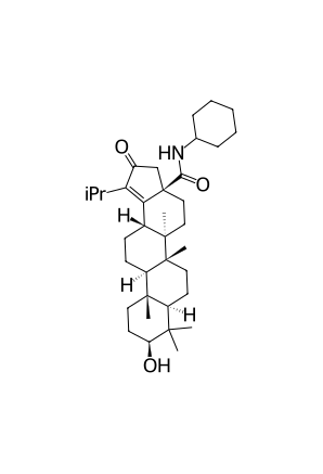 CC(C)C1=C2[C@H]3CC[C@@H]4[C@@]5(C)CC[C@H](O)C(C)(C)[C@@H]5CC[C@@]4(C)[C@]3(C)CC[C@@]2(C(=O)NC2CCCCC2)CC1=O